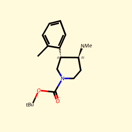 CN[C@H]1CCN(C(=O)OC(C)(C)C)C[C@@H]1c1ccccc1C